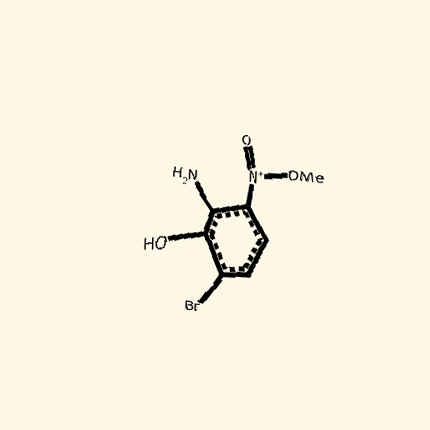 CO[N+](=O)c1ccc(Br)c(O)c1N